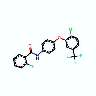 O=C(Nc1ccc(Oc2cc(C(F)(F)F)ccc2Cl)cc1)c1ccccc1F